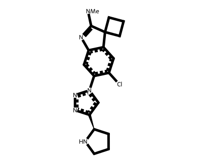 CNC1=Nc2cc(-n3cc([C@H]4CCCN4)nn3)c(Cl)cc2C12CCC2